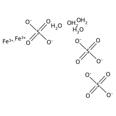 O.O.O.O.O=S(=O)([O-])[O-].O=S(=O)([O-])[O-].O=S(=O)([O-])[O-].[Fe+3].[Fe+3]